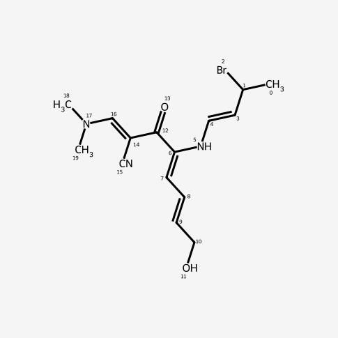 CC(Br)/C=C/N/C(=C\C=C\CO)C(=O)/C(C#N)=C/N(C)C